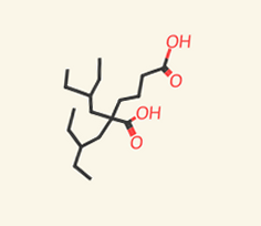 CCC(CC)CC(CCCC(=O)O)(CC(CC)CC)C(=O)O